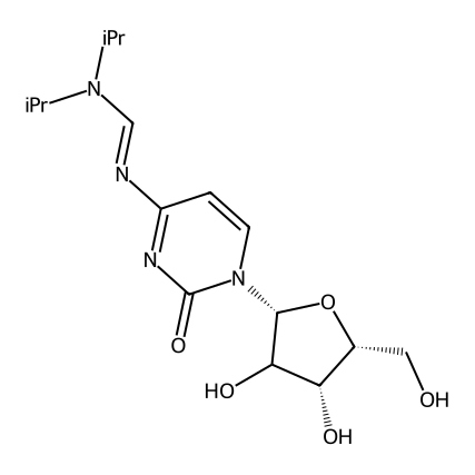 CC(C)N(/C=N/c1ccn([C@@H]2O[C@H](CO)[C@H](O)C2O)c(=O)n1)C(C)C